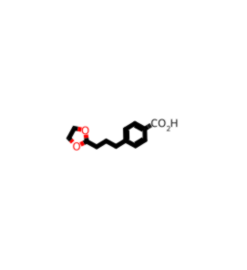 O=C(O)c1ccc(CCCC2OCCO2)cc1